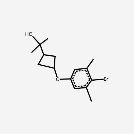 Cc1cc(OC2CC(C(C)(C)O)C2)cc(C)c1Br